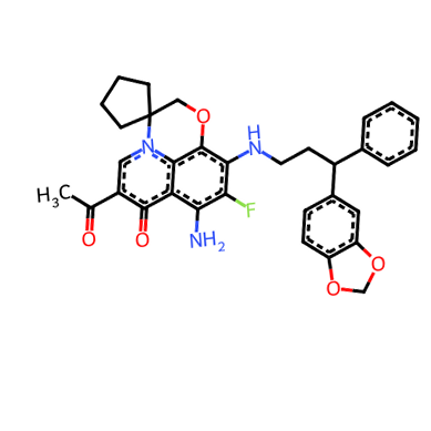 CC(=O)c1cn2c3c(c(NCCC(c4ccccc4)c4ccc5c(c4)OCO5)c(F)c(N)c3c1=O)OCC21CCCC1